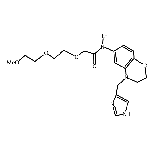 CCN(C(=O)COCCOCCOC)c1ccc2c(c1)N(Cc1c[nH]cn1)CCO2